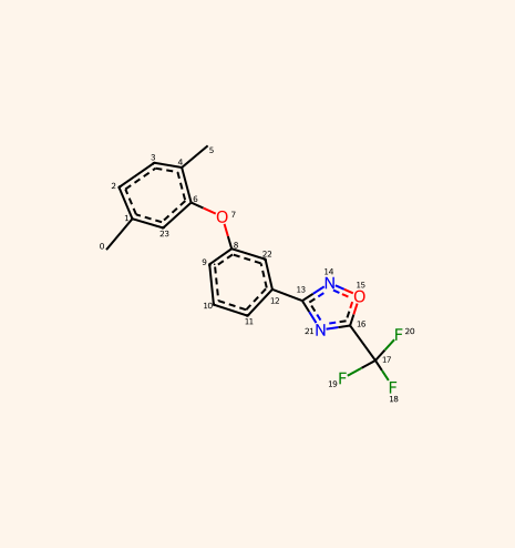 Cc1ccc(C)c(Oc2[c]ccc(-c3noc(C(F)(F)F)n3)c2)c1